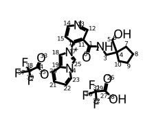 O=C(NCC1(CO)CCCC1)c1cnccc1-[n+]1cc2ccccn2c1.O=C(O)C(F)(F)F.O=C([O-])C(F)(F)F